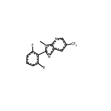 Cn1c(-c2c(F)cccc2F)nc2cc(C(F)(F)F)cnc21